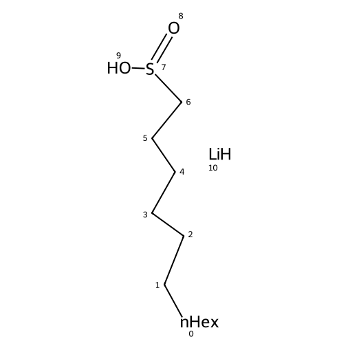 CCCCCCCCCCCCS(=O)O.[LiH]